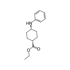 CCOC(=O)[C@H]1CC[C@@H](Nc2ccccc2)CC1